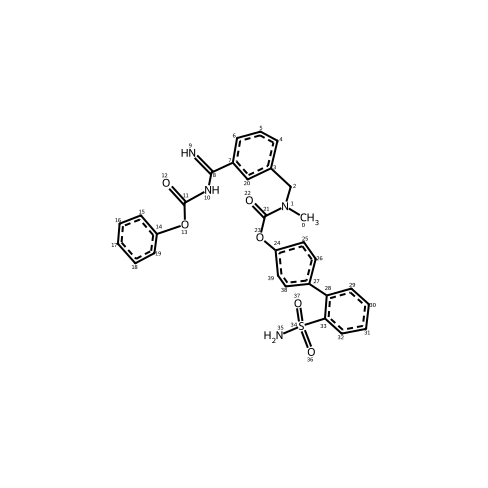 CN(Cc1cccc(C(=N)NC(=O)Oc2ccccc2)c1)C(=O)Oc1ccc(-c2ccccc2S(N)(=O)=O)cc1